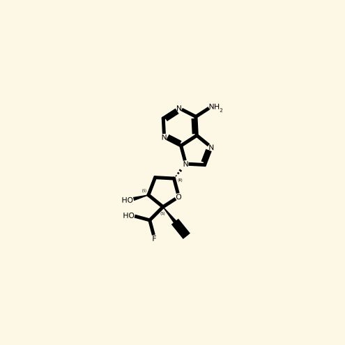 C#C[C@]1(C(O)F)O[C@@H](n2cnc3c(N)ncnc32)C[C@@H]1O